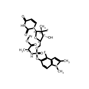 Cc1cc2c(F)c(OP(=O)(N[C@@H](C)C(=O)OC(C)C)OC[C@H]3O[C@@H](n4ccc(=O)[nH]c4=O)[C@](C)(F)[C@@H]3O)ccc2n1C